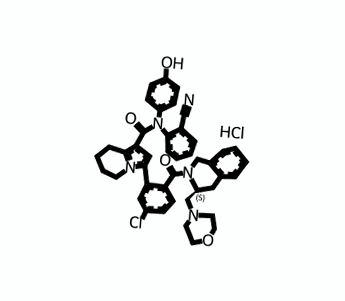 Cl.N#Cc1ccccc1N(C(=O)c1cc(-c2cc(Cl)ccc2C(=O)N2Cc3ccccc3C[C@H]2CN2CCOCC2)n2c1CCCC2)c1ccc(O)cc1